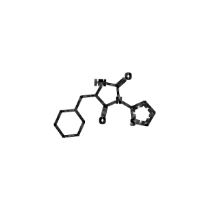 O=C1NC(CC2CCCCC2)C(=O)N1c1cccs1